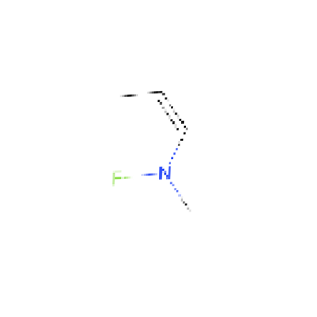 C/C=C\N(C)F